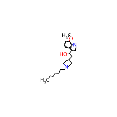 CCCCCCCN1CCC(C[C@H](O)c2ccnc3c(OC)cccc23)CC1